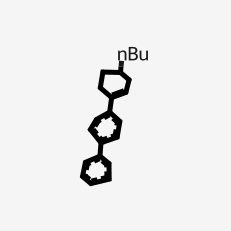 CCCCC1CC=C(c2ccc(-c3ccccc3)cc2)CC1